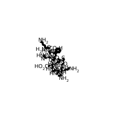 CC(C)[C@H](NC(=O)[C@H](CCCCN)NC(=O)[C@H](CC(N)=O)NC(=O)[C@H](C)NC(=O)[C@H](CCC(=O)O)NC(=O)[C@@H]1CCCN1C(=O)[C@H](Cc1c[nH]c2ccccc12)NC(=O)[C@H](Cc1c[nH]cn1)NC(=O)[C@H](CC(=O)O)NC(=O)[C@@H](N)CCCCN)C(=O)NCC(=O)O